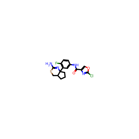 NC1=NC2(c3cc(NC(=O)c4coc(Cl)n4)ccc3F)CCCC2CS1